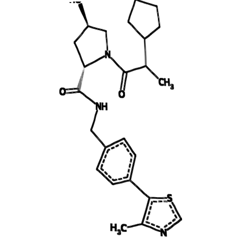 Cc1ncsc1-c1ccc(CNC(=O)[C@@H]2C[C@@H](O)CN2C(=O)C(C)C2CCCC2)cc1